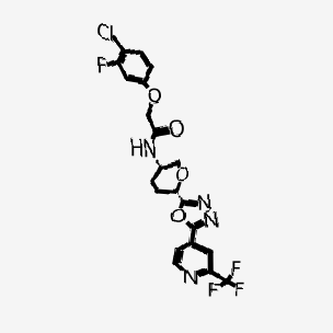 O=C(COc1ccc(Cl)c(F)c1)N[C@H]1CC[C@@H](c2nnc(-c3ccnc(C(F)(F)F)c3)o2)OC1